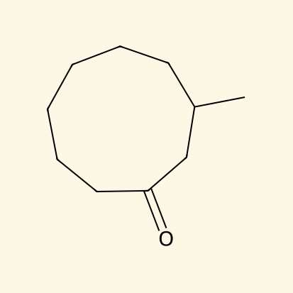 CC1CCCCCCC(=O)C1